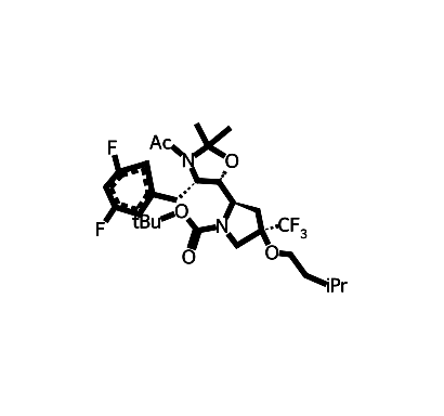 CC(=O)N1[C@@H](Cc2cc(F)cc(F)c2)[C@@H]([C@H]2C[C@](OCCC(C)C)(C(F)(F)F)CN2C(=O)OC(C)(C)C)OC1(C)C